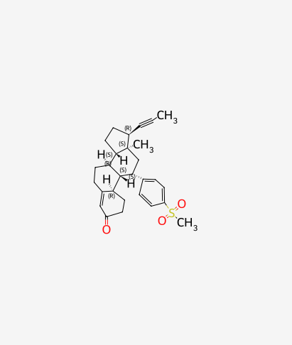 CC#C[C@@H]1CC[C@H]2[C@@H]3CCC4=CC(=O)CC[C@@H]4[C@H]3[C@@H](c3ccc(S(C)(=O)=O)cc3)C[C@]12C